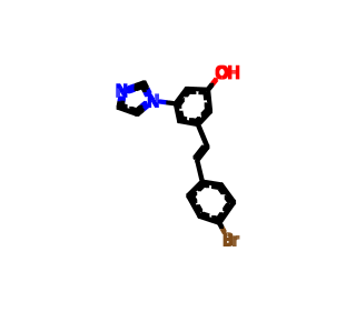 Oc1cc(/C=C/c2ccc(Br)cc2)cc(-n2ccnc2)c1